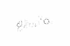 CC(C)C(C#N)(CCCN1CCC(C(=O)c2ccc(F)cc2)CC1)c1cccn1C